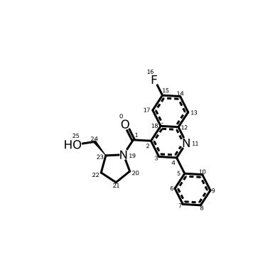 O=C(c1cc(-c2ccccc2)nc2ccc(F)cc12)N1CCC[C@H]1CO